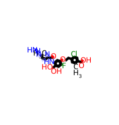 C\N=C(/C=C\C=N\N=N)C(=O)Nc1cc(OCCc2cc(C)c(C(=O)O)cc2Cl)c(F)cc1C(O)O